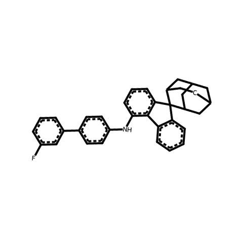 Fc1cccc(-c2ccc(Nc3cccc4c3-c3ccccc3C43C4CCC5CC(C4)CC3C5)cc2)c1